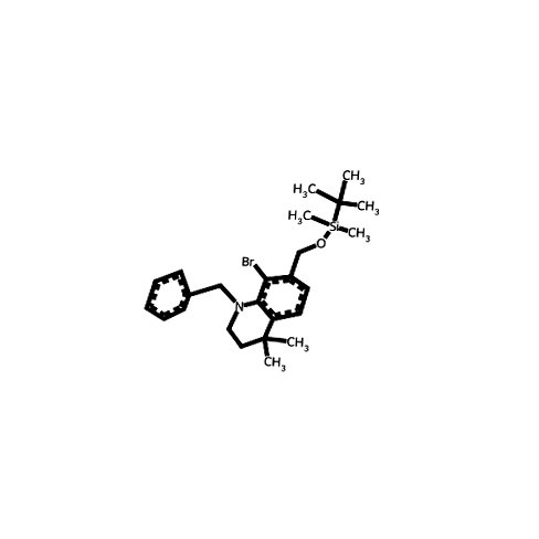 CC1(C)CCN(Cc2ccccc2)c2c1ccc(CO[Si](C)(C)C(C)(C)C)c2Br